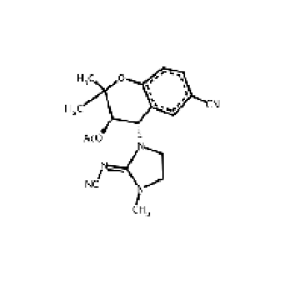 CC(=O)O[C@@H]1[C@@H](N2CCN(C)/C2=N\C#N)c2cc(C#N)ccc2OC1(C)C